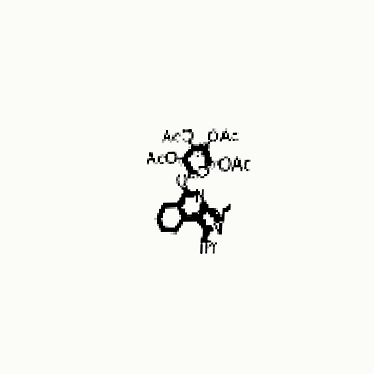 CC(=O)O[C@@H]1O[C@H](Oc2nc3c(c(C(C)C)nn3C)c3c2CCCC3)[C@H](OC(C)=O)[C@H](OC(C)=O)[C@@H]1OC(C)=O